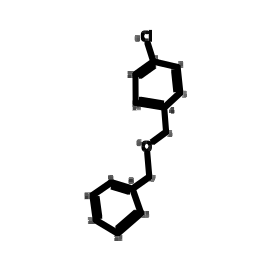 Clc1ccc(CO[CH]c2ccccc2)cc1